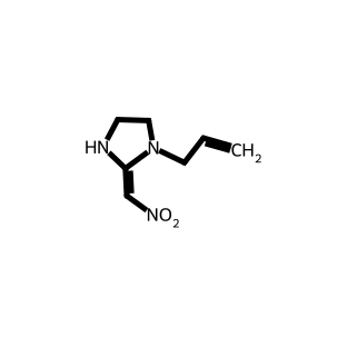 C=CCN1CCN/C1=C/[N+](=O)[O-]